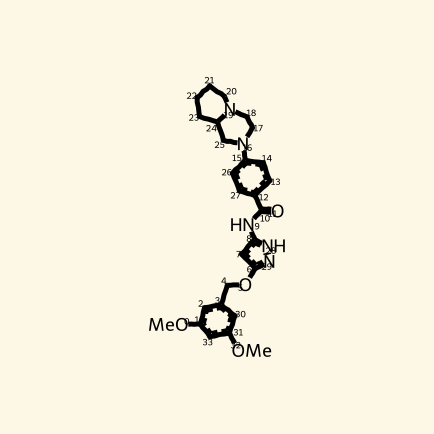 COc1cc(COc2cc(NC(=O)c3ccc(N4CCN5CCCCC5C4)cc3)[nH]n2)cc(OC)c1